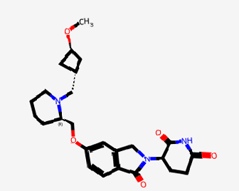 CO[C@H]1C[C@H](CN2CCCC[C@@H]2COc2ccc3c(c2)CN(C2CCC(=O)NC2=O)C3=O)C1